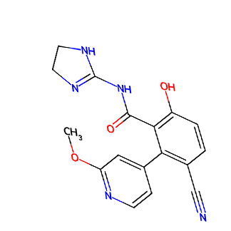 COc1cc(-c2c(C#N)ccc(O)c2C(=O)NC2=NCCN2)ccn1